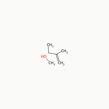 C=C(C)CC.CO